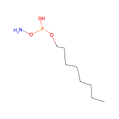 CCCCCCCCOP(O)ON